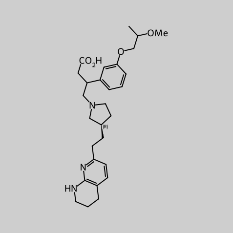 COC(C)COc1cccc(C(CC(=O)O)CN2CC[C@@H](CCc3ccc4c(n3)NCCC4)C2)c1